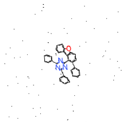 c1ccc(-c2nc(-c3ccccc3)nc(-c3c(-c4ccccc4)ccc4oc5ccccc5c34)n2)cc1